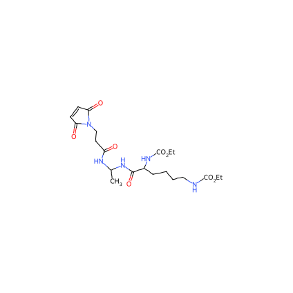 CCOC(=O)NCCCCC(NC(=O)OCC)C(=O)NC(C)NC(=O)CCN1C(=O)C=CC1=O